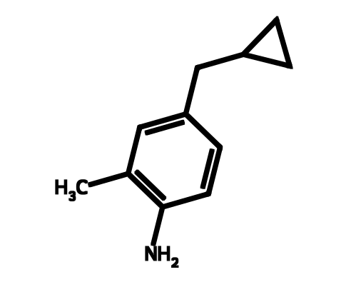 Cc1cc(CC2CC2)ccc1N